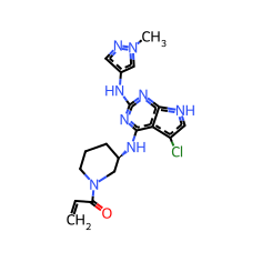 C=CC(=O)N1CCC[C@@H](Nc2nc(Nc3cnn(C)c3)nc3[nH]cc(Cl)c23)C1